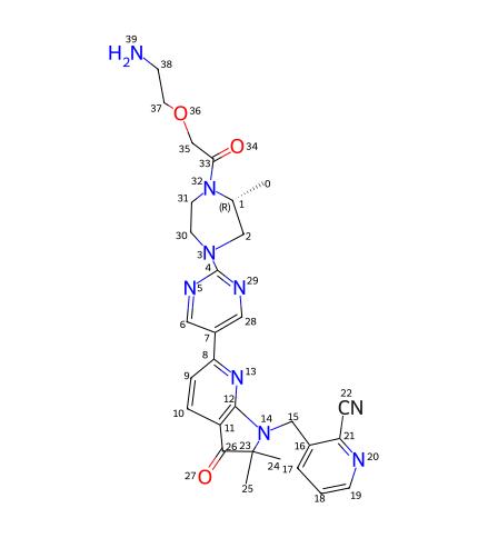 C[C@@H]1CN(c2ncc(-c3ccc4c(n3)N(Cc3cccnc3C#N)C(C)(C)C4=O)cn2)CCN1C(=O)COCCN